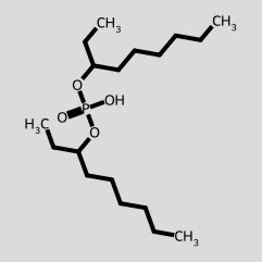 CCCCCCC(CC)OP(=O)(O)OC(CC)CCCCCC